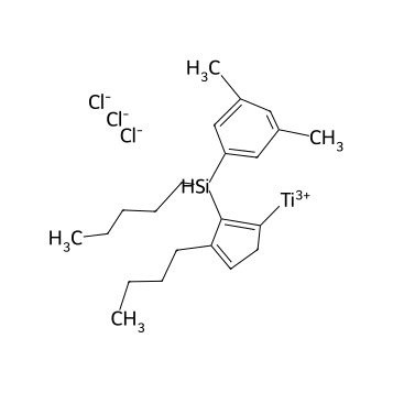 CCCCC[SiH](C1=[C]([Ti+3])CC=C1CCCC)c1cc(C)cc(C)c1.[Cl-].[Cl-].[Cl-]